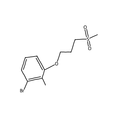 Cc1c(Br)cccc1OCCCS(C)(=O)=O